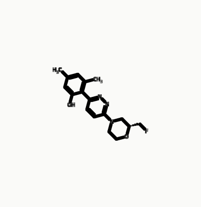 Cc1cc(C)c(-c2ccc(N3CCO[C@@H](CF)C3)nn2)c(O)c1